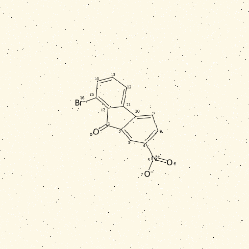 O=C1c2cc([N+](=O)[O-])ccc2-c2cccc(Br)c21